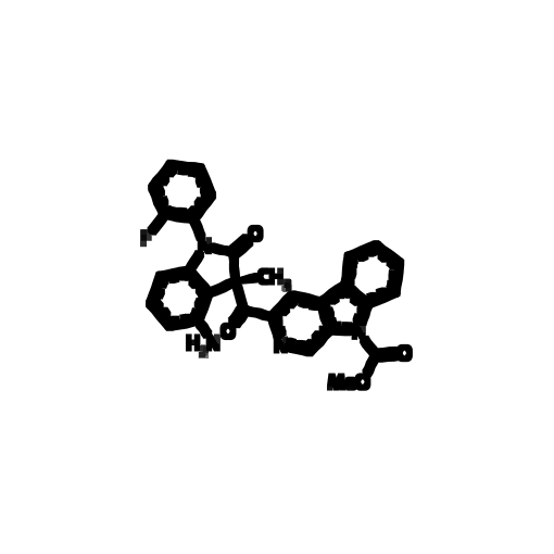 COC(=O)n1c2ccccc2c2cc(C(=O)[C@@]3(C)C(=O)N(c4ccccc4F)c4cccc(N)c43)ncc21